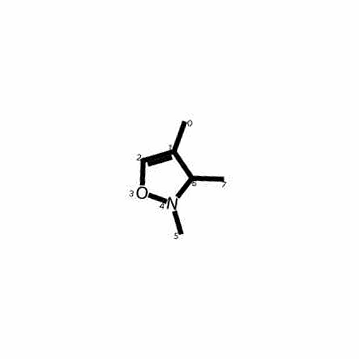 CC1=CON(C)C1C